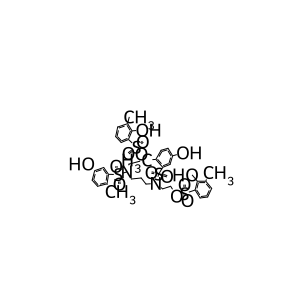 Cc1ccc(O)cc1S(=O)(=O)N(CCCN(CCOS(=O)(=O)c1cccc(C)c1O)S(=O)(=O)c1cc(O)ccc1C)CCOS(=O)(=O)c1cccc(C)c1O